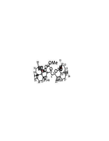 COC(=O)O[C@@H](C[C@H]1O[C@@H]2C[C@]3(C)CC[C@H]4[C@H](C)CC[C@@H]([C@H]1C)[C@@]24OO3)C1O[C@@H]2C[C@]3(C)CC[C@H]4[C@H](C)CC[C@@H]([C@H]1C)[C@@]24OO3